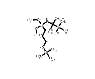 CO[Si](CCCS[Si](C)(C)C)(OC)PC(C)(C)[Si](C)(C)O